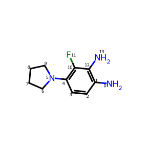 Nc1ccc(N2CCCC2)c(F)c1N